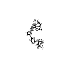 CN1CCC(O)(c2cn(-c3cccc(-c4ccnc(Nc5cnn(C)c5)n4)n3)nn2)C1=O